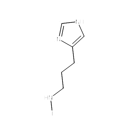 INCCCc1c[nH]cn1